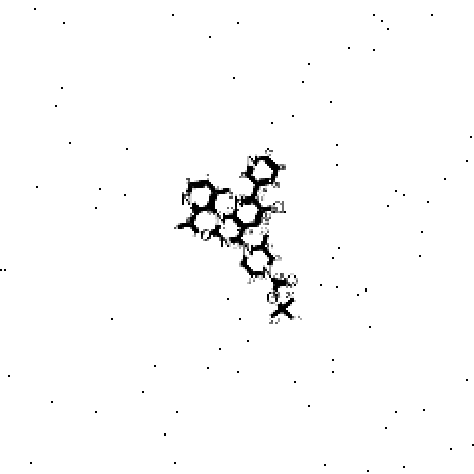 Cc1ccnc(C(C)C)c1-n1c(=O)nc(N2CCN(C(=O)OC(C)(C)C)CC2C)c2cc(Cl)c(-c3cccnc3)nc21